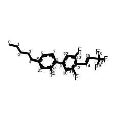 CCCCCc1ccc(-c2cc(F)c(/C=C/C(F)(F)F)c(F)c2)c(F)c1